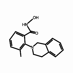 Cc1cccc(C(=O)NO)c1N1CCc2ccccc2C1